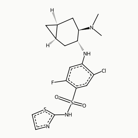 CN(C)[C@@H]1C[C@@H]2C[C@@H]2C[C@H]1Nc1cc(F)c(S(=O)(=O)Nc2nccs2)cc1Cl